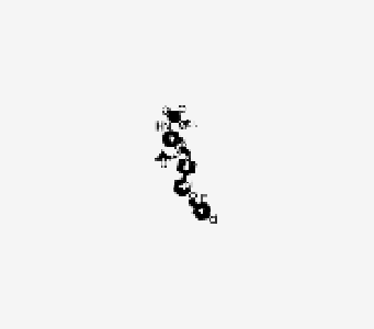 CCOc1c(Nc2ccc3c(c2)nc(CN2CCC(c4cccc(OCc5ccc(Cl)cc5F)n4)CC2)n3C[C@@H]2CCO2)c(=O)c1=O